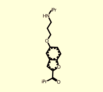 CC(C)NCCCOc1ccc2oc(C(=O)C(C)C)cc2c1